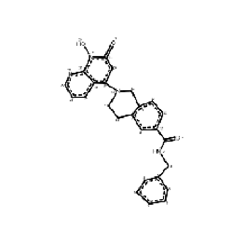 O=C(NCc1ccccc1)c1ccc2c(c1)CCN(c1cc(=O)n(O)c3ncccc13)C2